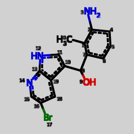 Cc1c(N)cccc1C(O)c1c[nH]c2ncc(Br)cc12